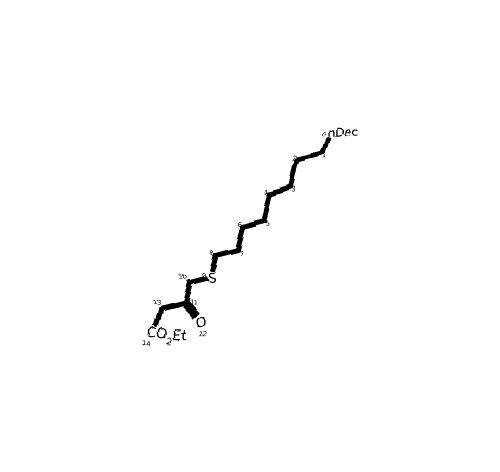 CCCCCCCCCCCCCCCCCCSCC(=O)CC(=O)OCC